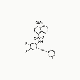 COc1ccc(S(=O)(=O)Nc2cc(F)c(Br)cc2C#Cc2cccnc2)c2ncccc12